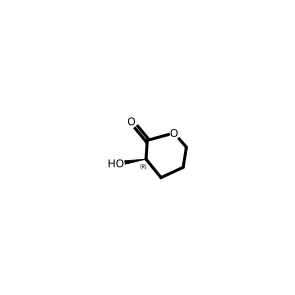 O=C1OCCC[C@H]1O